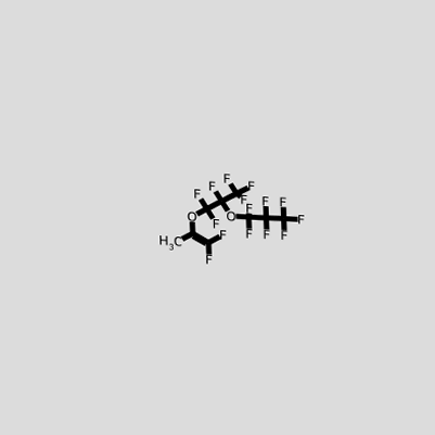 CC(OC(F)(F)C(F)(OC(F)(F)C(F)(F)C(F)(F)F)C(F)(F)F)=C(F)F